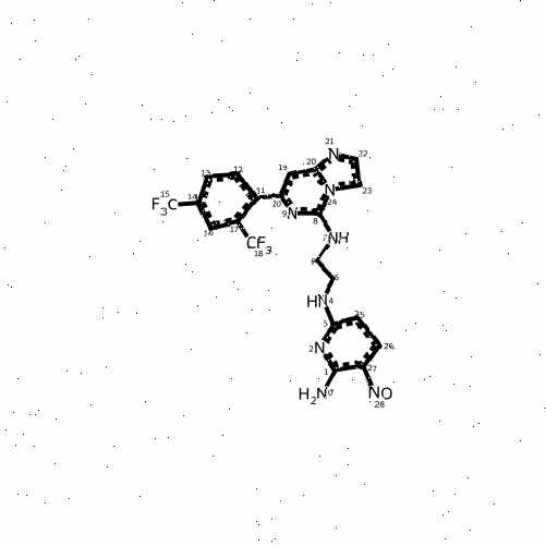 Nc1nc(NCCNc2nc(-c3ccc(C(F)(F)F)cc3C(F)(F)F)cc3nccn23)ccc1N=O